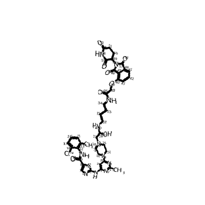 Cc1nc(Nc2ncc(C(=O)Nc3c(C)cccc3Cl)s2)cc(N2CCN(CC(O)NCCCCNC(=O)COc3cccc4c3C(=O)N(C3CCC(=O)NC3=O)C4=O)CC2)n1